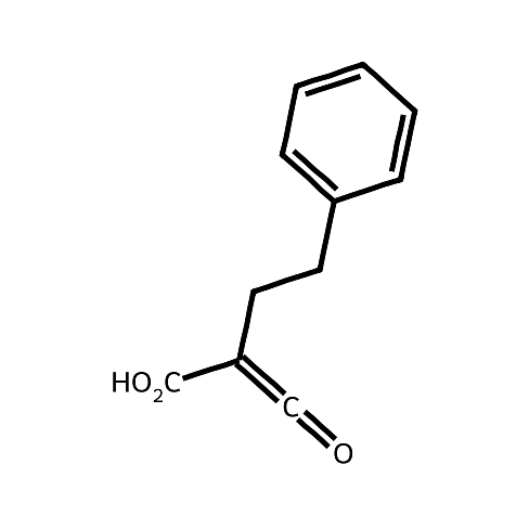 O=C=C(CCc1ccccc1)C(=O)O